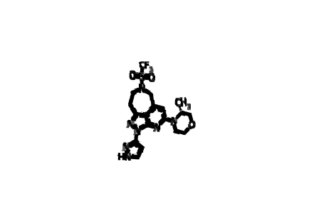 C[C@@H]1COCCN1c1cc2c3c(nn(-c4cc[nH]n4)c3n1)CCN(S(=O)(=O)C(F)(F)F)C2